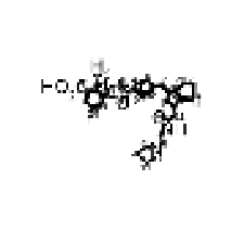 C[S+]([O-])c1ccc(C=C2C=C(CC(=O)NCCN3CCCC3)c3ccccc32)cc1.Cc1c(C(=O)O)cc(F)cc1C(=O)O